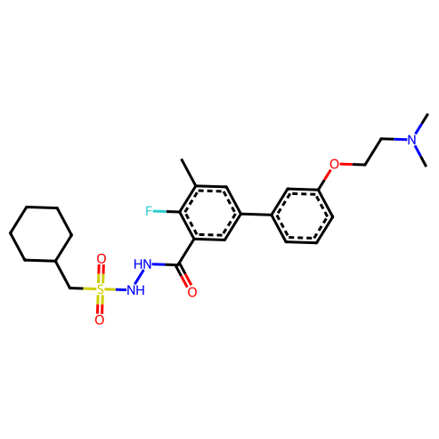 Cc1cc(-c2cccc(OCCN(C)C)c2)cc(C(=O)NNS(=O)(=O)CC2CCCCC2)c1F